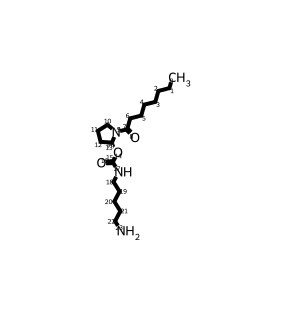 CCCCCCCC(=O)N1CCC[C@H]1OC(=O)NCCCCCN